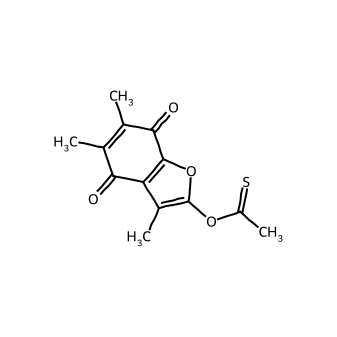 CC(=S)Oc1oc2c(c1C)C(=O)C(C)=C(C)C2=O